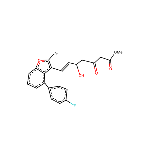 COC(=O)CC(=O)CC(O)C=Cc1c(C(C)C)oc2cccc(-c3ccc(F)cc3)c12